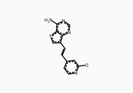 Nc1ncnc2c(C=Cc3ccnc(Cl)c3)csc12